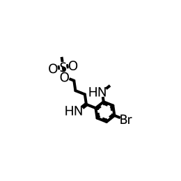 CNc1cc(Br)ccc1C(=N)CCCOS(C)(=O)=O